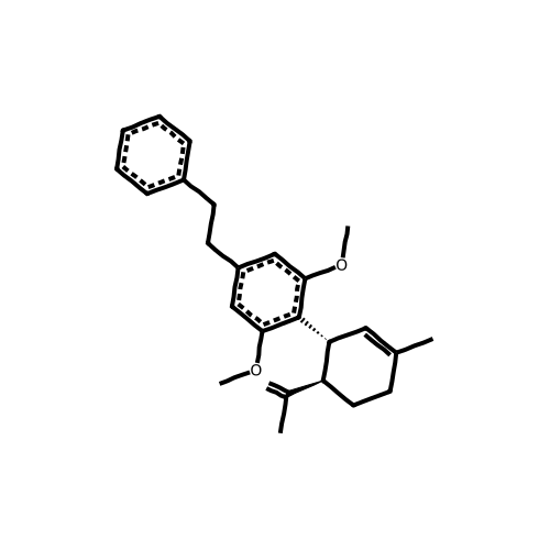 C=C(C)[C@@H]1CCC(C)=C[C@H]1c1c(OC)cc(CCc2ccccc2)cc1OC